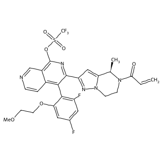 C=CC(=O)N1CCn2nc(-c3nc(OS(=O)(=O)C(F)(F)F)c4cnccc4c3-c3c(F)cc(F)cc3OCCOC)cc2[C@H]1C